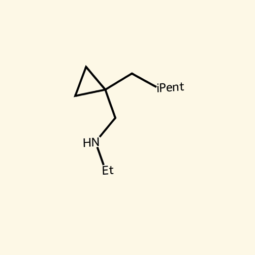 CCCC(C)CC1(CNCC)CC1